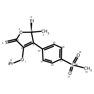 CC[C@]1(C)OC(=S)C(OC(C)C)=C1c1ccc(S(C)(=O)=O)cc1